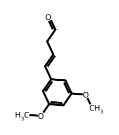 COc1cc(C=CC[C]=O)cc(OC)c1